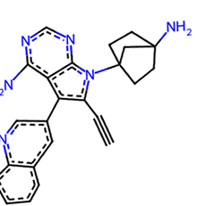 C#Cc1c(-c2cnc3ccccc3c2)c2c(N)ncnc2n1C12CCC(N)(CC1)C2